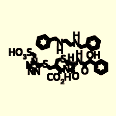 O=C(O)C1=C(CSc2nnnn2CS(=O)(=O)O)CS[C@@H]2[C@H](NC(=O)C(O)c3ccccc3)C(=O)N12.c1ccc(CNCCNCc2ccccc2)cc1